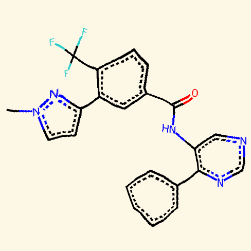 Cn1ccc(-c2cc(C(=O)Nc3cncnc3-c3ccccc3)ccc2C(F)(F)F)n1